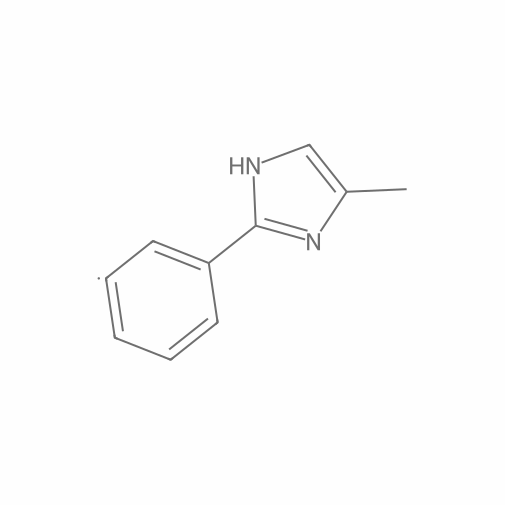 Cc1c[nH]c(-c2c[c]ccc2)n1